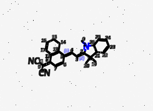 CN1/C(=C\C=c2/ccc(=C(C#N)C#N)c3c2CCC=C3)C(C)(C)C2C=CC=CC21